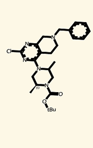 CC1CN(C(=O)OC(C)(C)C)[C@@H](C)CN1c1nc(Cl)nc2c1CCN(Cc1ccccc1)C2